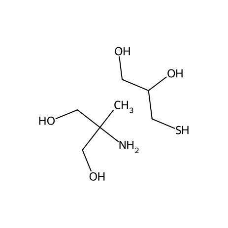 CC(N)(CO)CO.OCC(O)CS